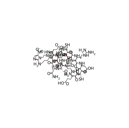 Cc1ncc([N+](=O)[O-])n1CCNN[C@@H](CCC(=O)O)C(=O)N[C@@H](CC(=O)O)C(=O)C(=O)[C@H](CCCCN)NC(=O)[C@H](CC(N)=O)NC(=O)[C@H](CS)NC(=O)CNC(=O)[C@H](CCCCN)NC(=O)[C@H](CCC(N)=O)NN[C@@H](CO)C(=O)N[C@@H](CS)C(=O)N[C@@H](CCCNC(N)N)C(=O)N[C@@H](CC(=O)O)C(=O)C(=O)[C@H](CS)NC(=O)[C@@H](N)CCC(=O)O